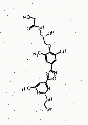 Cc1cc(-c2nc(-c3cc(C)c(OC[C@@H](O)CNC(=O)CO)c(C)c3)no2)nc(NCC(C)C)n1